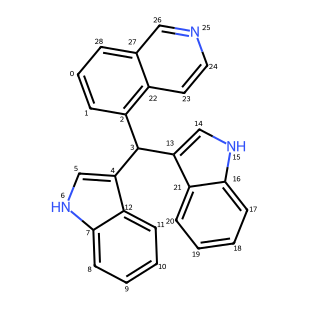 c1cc(C(c2c[nH]c3ccccc23)c2c[nH]c3ccccc23)c2ccncc2c1